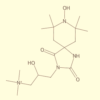 CC1(C)CC2(CC(C)(C)N1O)NC(=O)N(CC(O)C[N+](C)(C)C)C2=O